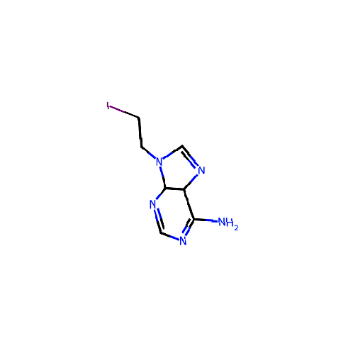 NC1=NC=NC2C1N=CN2CCI